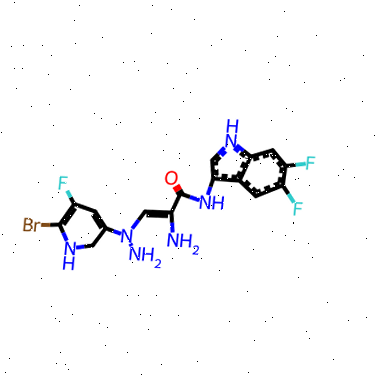 N/C(=C\N(N)C1=CC(F)=C(Br)NC1)C(=O)Nc1c[nH]c2cc(F)c(F)cc12